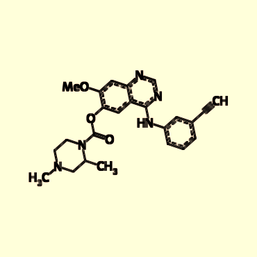 C#Cc1cccc(Nc2ncnc3cc(OC)c(OC(=O)N4CCN(C)CC4C)cc23)c1